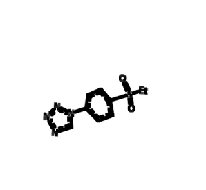 CCS(=O)(=O)c1ccc(-n2cnnn2)cc1